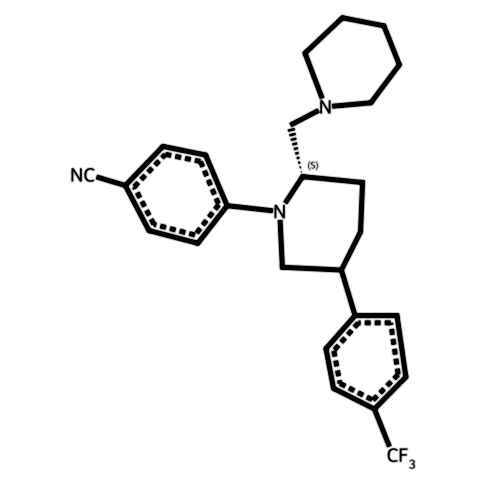 N#Cc1ccc(N2CC(c3ccc(C(F)(F)F)cc3)CC[C@H]2CN2CCCCC2)cc1